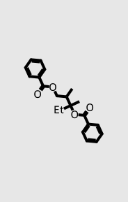 CCC(C)(OC(=O)c1ccccc1)C(C)COC(=O)c1ccccc1